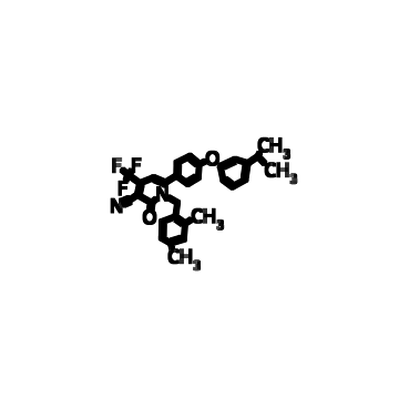 Cc1ccc(Cn2c(-c3ccc(Oc4cccc(C(C)C)c4)cc3)cc(C(F)(F)F)c(C#N)c2=O)c(C)c1